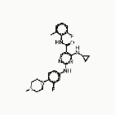 Cc1cccc(F)c1NC(=O)c1cnc(Nc2ccc(N3CCN(C)CC3)c(F)c2)nc1NC1CC1